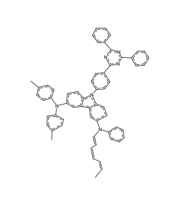 C\C=C/C=C\C=C\N(c1ccccc1)c1ccc2c(c1)c1cc(N(c3ccc(C)cc3)c3ccc(C)cc3)ccc1n2-c1ccc(-c2nc(-c3ccccc3)nc(-c3ccccc3)n2)cc1